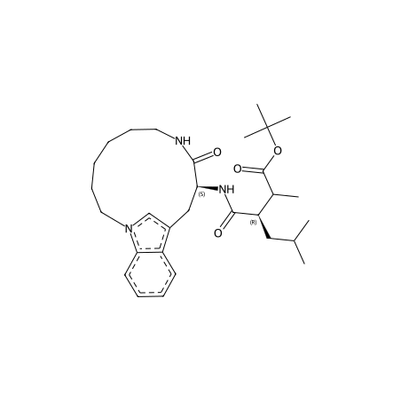 CC(C)C[C@@H](C(=O)N[C@H]1Cc2cn(c3ccccc23)CCCCCCNC1=O)C(C)C(=O)OC(C)(C)C